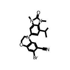 CC(C)c1cc(N2CCOc3cc(Br)c(C#N)cc32)cc2c1n(C)c(=O)n2C